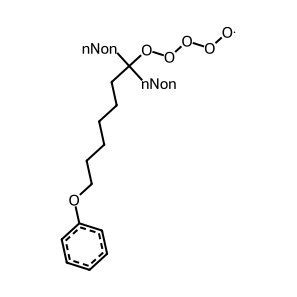 CCCCCCCCCC(CCCCCCCCC)(CCCCCCOc1ccccc1)OOOO[O]